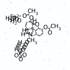 CC(=O)Oc1ccc2c3c1O[C@H]1[C@@H](OC(C)=O)C=C[C@H]4[C@@H](C2)N(C)CC[C@@]341.O.O.O.O.O.O.O.O=S(=O)([O-])[O-].[Fe+2]